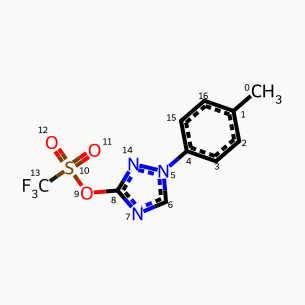 Cc1ccc(-n2cnc(OS(=O)(=O)C(F)(F)F)n2)cc1